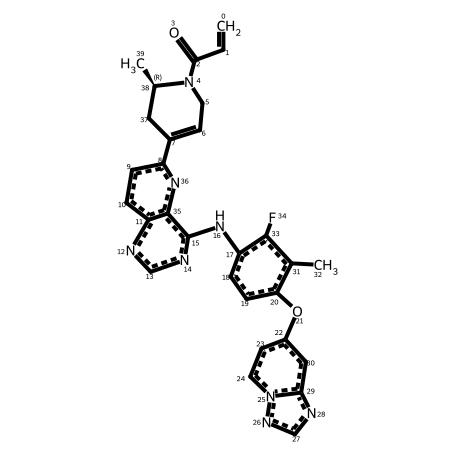 C=CC(=O)N1CC=C(c2ccc3ncnc(Nc4ccc(Oc5ccn6ncnc6c5)c(C)c4F)c3n2)C[C@H]1C